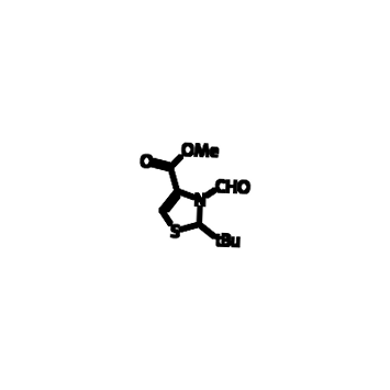 COC(=O)C1=CSC(C(C)(C)C)N1C=O